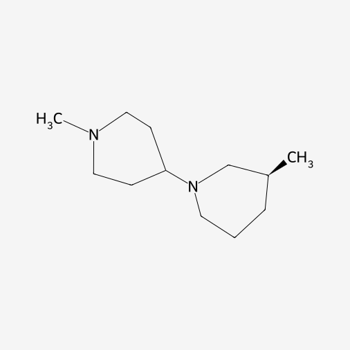 C[C@H]1CCCN(C2CCN(C)CC2)C1